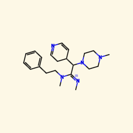 C/N=C(/C(C1C=CN=CC1)N1CCN(C)CC1)N(C)CCc1ccccc1